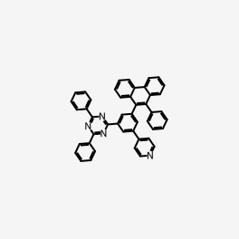 c1ccc(-c2nc(-c3ccccc3)nc(-c3cc(-c4ccncc4)cc(-c4c(-c5ccccc5)c5ccccc5c5ccccc45)c3)n2)cc1